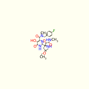 CCO[C@H]1CN[C@@](C(=O)C(=O)NC)(c2nc(C(=O)N(C)Cc3ccc(F)cc3)c(O)c(=O)[nH]2)C1